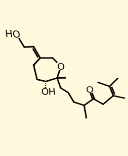 CC(C)=C(C)CC(=O)C(C)CCCC1(C)OC/C(=C/CO)CC[C@H]1O